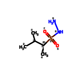 CC(C)[C@@H](C)S(=O)(=O)NN